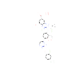 COc1cc(C(=O)O)cc2c1nc(Cc1c(F)cc(-c3ccnc(OCc4ccc(Cl)cc4F)n3)c3c1CCO3)n2CC1(CF)CC1